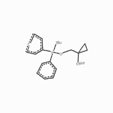 COC1(CO[Si](c2ccccc2)(c2ccccc2)C(C)(C)C)CC1